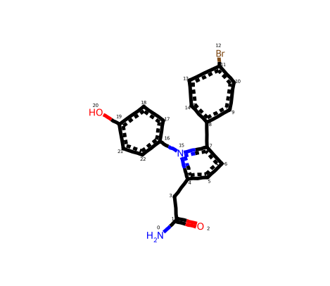 NC(=O)Cc1ccc(-c2ccc(Br)cc2)n1-c1ccc(O)cc1